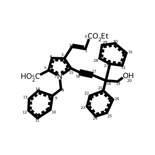 CCOC(=O)C=Cc1cc(C(=O)O)n(Cc2ccccc2)c1C#CC(CO)(c1ccccc1)c1ccccc1